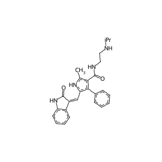 Cc1[nH]c(C=C2C(=O)Nc3ccccc32)c(-c2ccccc2)c1C(=O)NCCNC(C)C